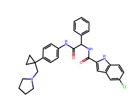 O=C(NC(C(=O)Nc1ccc(C2(CN3CCCC3)CC2)cc1)c1ccccc1)c1cc2cc(Cl)ccc2[nH]1